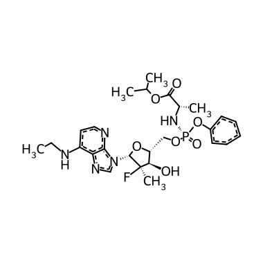 CCNc1ccnc2c1ncn2[C@@H]1O[C@H](CO[P@@](=O)(N[C@@H](C)C(=O)OC(C)C)Oc2ccccc2)[C@@H](O)[C@@]1(C)F